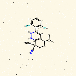 C#C[C@]1(C#N)CC[C@H](C(C)C)c2cc(-c3c(F)cccc3F)nnc21